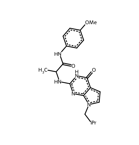 COc1ccc(NC(=O)C(C)Nc2nc3c(ccn3CC(C)C)c(=O)[nH]2)cc1